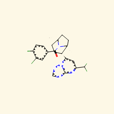 O=C(c1ccc(F)c(F)c1)N1[C@H]2CC[C@H](c3cc(C(F)F)nc4ncnn34)[C@@H]1CC2